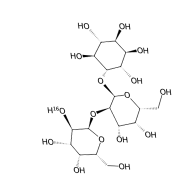 OC[C@H]1O[C@H](O[C@@H]2[C@@H](O)[C@@H](O)[C@@H](CO)O[C@@H]2O[C@H]2[C@@H](O)[C@H](O)[C@H](O)[C@@H](O)[C@@H]2O)[C@H]([16OH])[C@@H](O)[C@H]1O